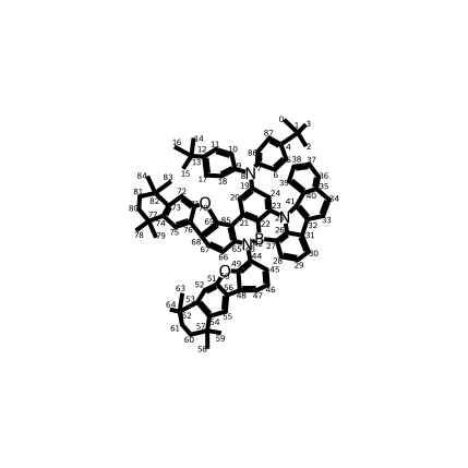 CC(C)(C)c1ccc(N(c2ccc(C(C)(C)C)cc2)c2cc3c4c(c2)-n2c5c(cccc5c5ccc6ccccc6c52)B4N(c2cccc4c2oc2cc5c(cc24)C(C)(C)CCC5(C)C)c2ccc4c(oc5cc6c(cc54)C(C)(C)CCC6(C)C)c2-3)cc1